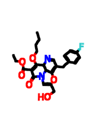 CCCCOC1=C(C(=O)OCC)C(=O)N2C=C(CO)OC3=C(Cc4ccc(F)cc4)C=NC1C32